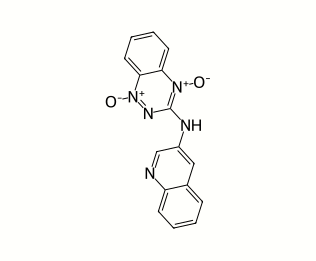 [O-][n+]1nc(Nc2cnc3ccccc3c2)[n+]([O-])c2ccccc21